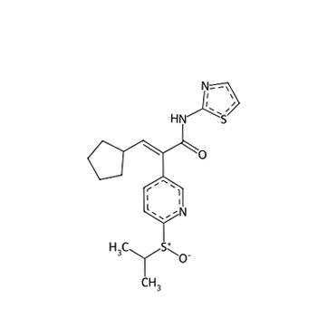 CC(C)[S+]([O-])c1ccc(/C(=C\C2CCCC2)C(=O)Nc2nccs2)cn1